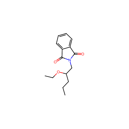 CCCC(CN1C(=O)c2ccccc2C1=O)OCC